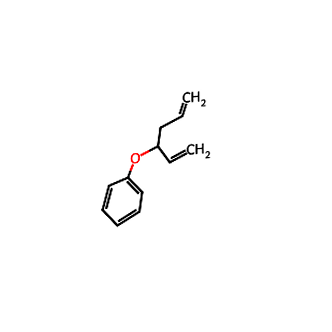 C=CCC(C=C)Oc1ccccc1